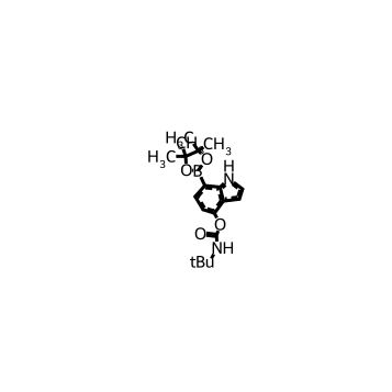 CC(C)(C)NC(=O)Oc1ccc(B2OC(C)(C)C(C)(C)O2)c2[nH]ccc12